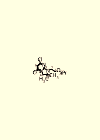 CC(C)OCCN1c2nc(Cl)cc(=O)n2CC1(C)C